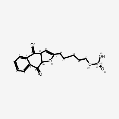 O=C1c2ccccc2C(=O)C2OC(CCCCCO[PH](=O)O)=CC12